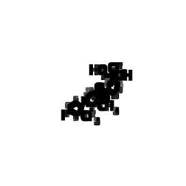 C[C@@H]1CN(c2ccc(F)cc2C(F)(F)F)CCN1S(=O)(=O)c1cccc([C@](O)(CO)C(F)(F)F)c1